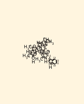 CC(=O)N[C@@H](Cc1c[nH]c2ccccc12)C(=O)N[C@H](CSSC(C)(C)C)C(=O)N1CCC[C@H]1C(=O)O[C@@H](C)C(=O)N[C@@H](C)C(=O)O